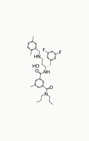 CCCN(CCC)C(=O)c1cc(C)cc(C(=O)N[C@@H](Cc2cc(F)cc(F)c2)[C@H](O)CNCc2cc(C)ccc2C)c1